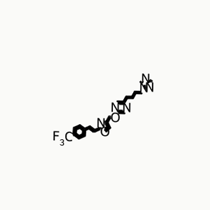 FC(F)(F)c1ccc(C=Cc2nc(COc3cnc(CCCCn4cncn4)cn3)co2)cc1